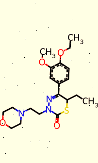 CCOc1ccc(C2=NN(CCN3CCOCC3)C(=O)SC2CC)cc1OC